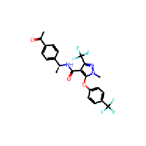 CC(=O)c1ccc([C@H](C)NC(=O)c2c(C(F)(F)F)nn(C)c2Oc2ccc(C(F)(F)F)cc2)cc1